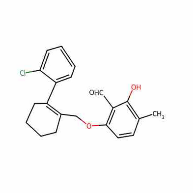 Cc1ccc(OCC2=C(c3ccccc3Cl)CCCC2)c(C=O)c1O